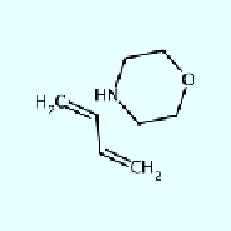 C1COCCN1.C=CC=C